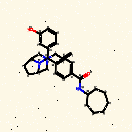 C=CCN1CC2CCC(C1)N2C(c1ccc(C(=O)NC2CCCCCC2)cc1)c1cccc(O)c1